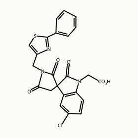 O=C(O)CN1C(=O)C2(CC(=O)N(Cc3csc(-c4ccccc4)n3)C2=O)c2cc(Cl)ccc21